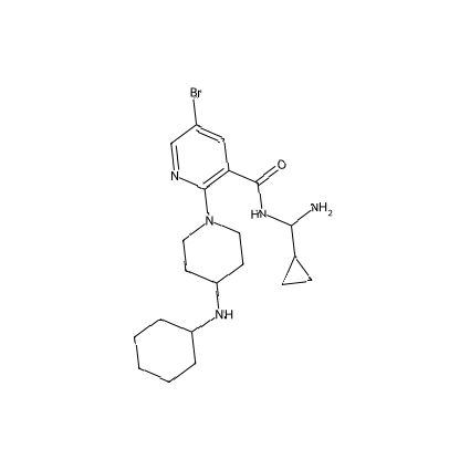 NC(NC(=O)c1cc(Br)cnc1N1CCC(NC2CCCCC2)CC1)C1CC1